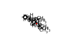 CC(C)(C)OC(=O)NC[C@@]12CO[C@@H](O1)[C@H](NC(=O)Oc1ccccc1)[C@H]1OC(C)(C)O[C@H]12